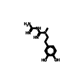 CN(CCc1ccc(O)c(O)c1)C(=N)NC(=N)N